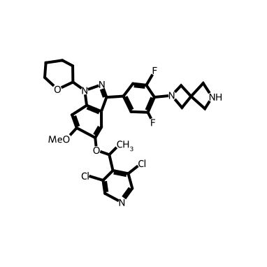 COc1cc2c(cc1OC(C)c1c(Cl)cncc1Cl)c(-c1cc(F)c(N3CC4(CNC4)C3)c(F)c1)nn2C1CCCCO1